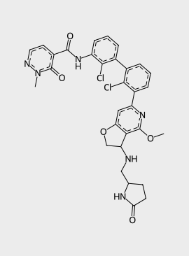 COc1nc(-c2cccc(-c3cccc(NC(=O)c4ccnn(C)c4=O)c3Cl)c2Cl)cc2c1C(NCC1CCC(=O)N1)CO2